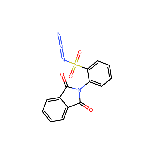 [N-]=[N+]=NS(=O)(=O)c1ccccc1N1C(=O)c2ccccc2C1=O